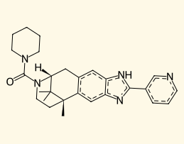 CC1(C)[C@H]2Cc3cc4[nH]c(-c5cccnc5)nc4cc3[C@]1(C)CCN2C(=O)N1CCCCC1